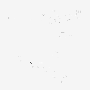 Br.Br.COc1cc(Br)c(CCn2c(-c3ccc(C(=N)N)cc3)nc3c(CC(=O)O)c(C(=O)NCCC(=O)OC4CC5CCC4C5)ccc32)cc1OC.COc1ccc(CCN2c3ccc(C(=O)NCCC(=O)O)cc3NC2c2ccc(C(=N)N)cc2)cc1OC